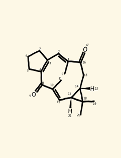 C/C1=C\C2=C(CCC2)C(=O)/C(C)=C/[C@@H]2[C@H](CC1=O)C2(C)C